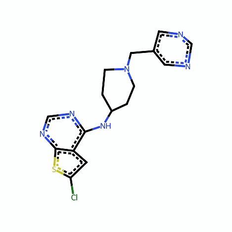 Clc1cc2c(NC3CCN(Cc4cncnc4)CC3)ncnc2s1